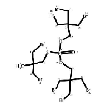 CC(CBr)(CBr)COP(=O)(OCC(CBr)(CBr)CBr)OCC(CBr)(CBr)CBr